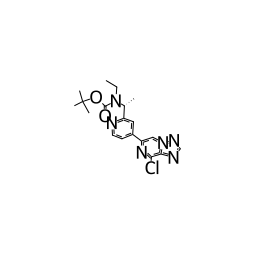 CCN(C(=O)OC(C)(C)C)[C@H](C)c1cc(-c2cn3ncnc3c(Cl)n2)ccn1